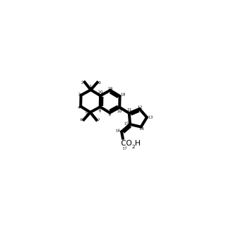 CC1(C)CCC(C)(C)c2cc(C3=CCCC3=CC(=O)O)ccc21